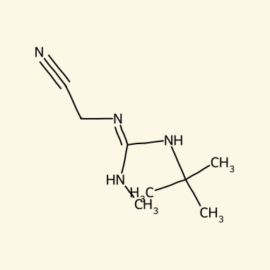 CN/C(=N\CC#N)NC(C)(C)C